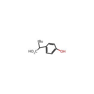 CC(C)(C)C(C(=O)O)c1ccc(O)cc1